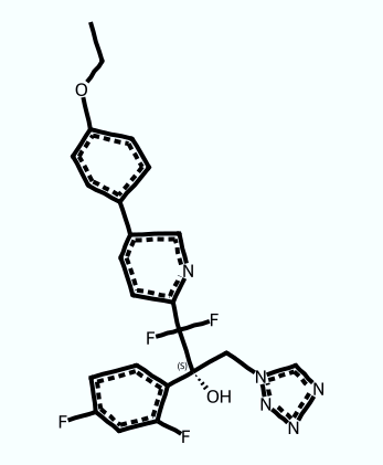 CCOc1ccc(-c2ccc(C(F)(F)[C@@](O)(Cn3cnnn3)c3ccc(F)cc3F)nc2)cc1